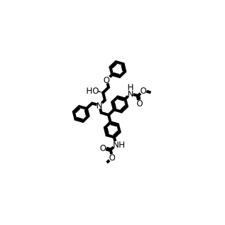 COC(=O)Nc1ccc(C(CN(Cc2ccccc2)C[C@H](O)COc2ccccc2)c2ccc(NC(=O)OC)cc2)cc1